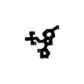 O=P(O)(O)CCc1c(-c2nnn[nH]2)nc2cc(Cl)ccn12